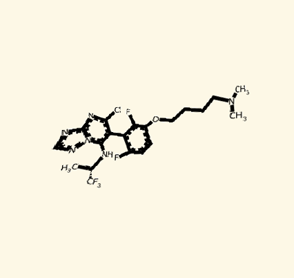 C[C@H](Nc1c(-c2c(F)ccc(OCCCCN(C)C)c2F)c(Cl)nc2ncnn12)C(F)(F)F